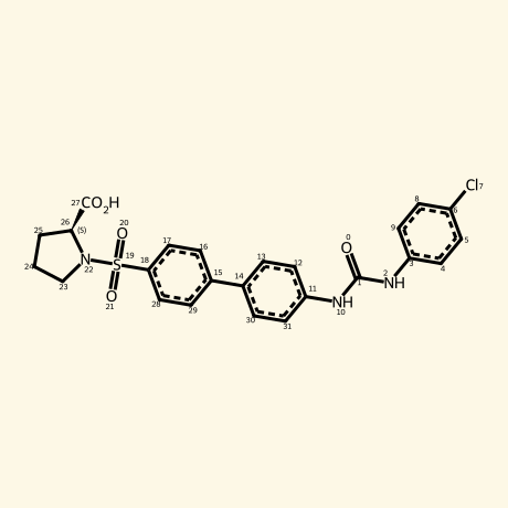 O=C(Nc1ccc(Cl)cc1)Nc1ccc(-c2ccc(S(=O)(=O)N3CCC[C@H]3C(=O)O)cc2)cc1